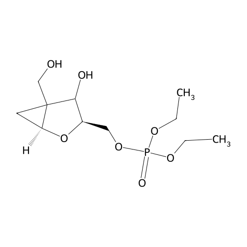 CCOP(=O)(OCC)OC[C@H]1O[C@H]2CC2(CO)C1O